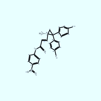 C[C@]1(/C=C/C(=O)Oc2ccc([N+](=O)[O-])cc2)CC1(c1ccc(F)cc1)c1ccc(F)cc1